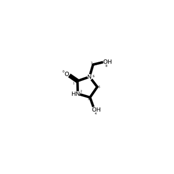 O=C1NC(O)CN1CO